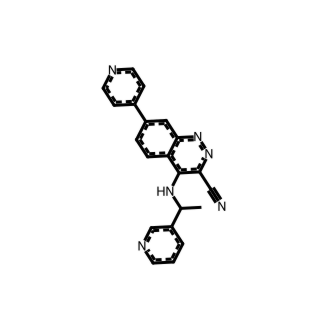 CC(Nc1c(C#N)nnc2cc(-c3ccncc3)ccc12)c1cccnc1